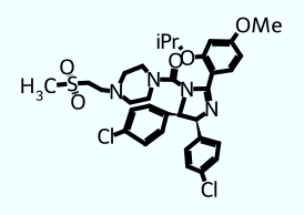 COc1ccc(C2=N[C@@H](c3ccc(Cl)cc3)[C@@H](c3ccc(Cl)cc3)N2C(=O)N2CCN(CCS(C)(=O)=O)CC2)c(OC(C)C)c1